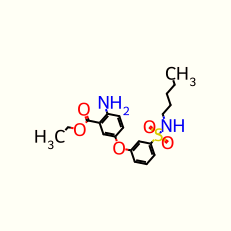 CCCCCNS(=O)(=O)c1cccc(Oc2ccc(N)c(C(=O)OCC)c2)c1